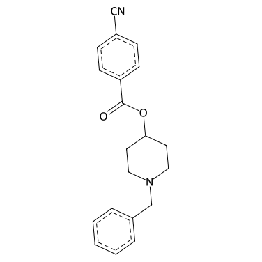 N#Cc1ccc(C(=O)OC2CCN(Cc3ccccc3)CC2)cc1